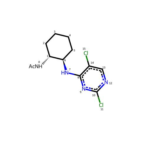 CC(=O)N[C@@H]1CCCC[C@H]1Nc1nc(Cl)ncc1Cl